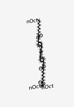 CCCCCCCC/C=C\CCCCCCCC(=O)OCCC1CCN(CCSSCCN2CCC(CCOC(=O)CCCCCCCC(=O)OC(CCCCCCCC)CCCCCCCC)CC2)CC1